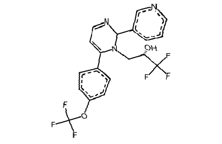 O[C@@H](CN1C(c2ccc(OC(F)(F)F)cc2)=CC=NC1c1cccnc1)C(F)(F)F